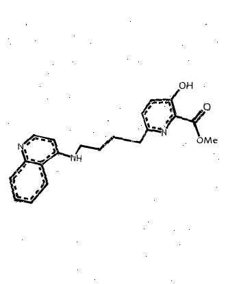 COC(=O)c1nc(CCCCNc2ccnc3ccccc23)ccc1O